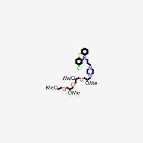 COCCOCC(COCC(COCC(CN1CCN(CCCN2c3ccccc3Sc3ccc(Cl)cc32)CC1)OC)OC)OC